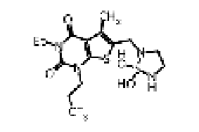 CCn1c(=O)c2c(C)c(CN3CCNS3(O)O)sc2n(CCC(F)(F)F)c1=O